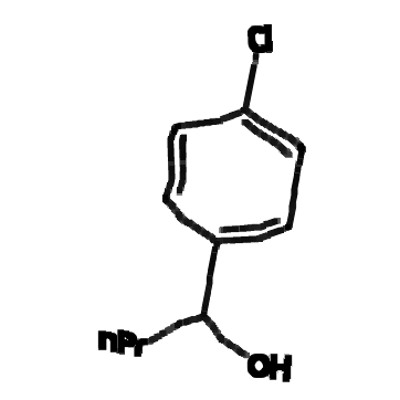 CCCC(O)c1ccc(Cl)cc1